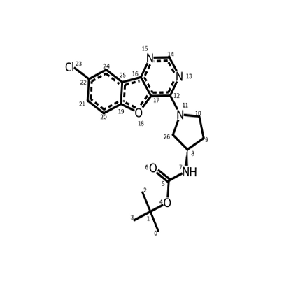 CC(C)(C)OC(=O)N[C@@H]1CCN(c2ncnc3c2oc2ccc(Cl)cc23)C1